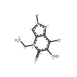 Cn1cc2c(n1)c(Cl)c(C=O)c(=O)n2CP